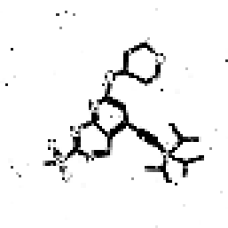 CC(C)[Si](C#Cc1cc(OC2CCOCC2)nc2nc(S(C)(=O)=O)ncc12)(C(C)C)C(C)C